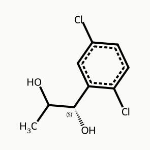 CC(O)[C@@H](O)c1cc(Cl)ccc1Cl